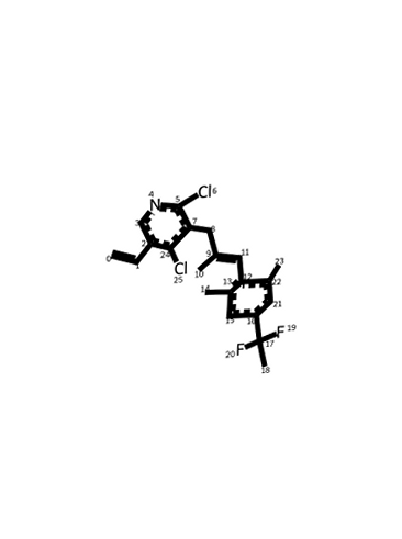 C=Cc1cnc(Cl)c(C/C(C)=C/c2c(C)cc(C(C)(F)F)cc2C)c1Cl